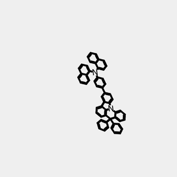 c1ccc(C2(c3ccccc3)c3ccccc3-n3c4ccc(-c5ccc(N(c6cccc7ccccc67)c6cccc7ccccc67)cc5)cc4c4cccc2c43)cc1